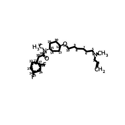 C=CCN(C)CCCCCCO[C@H]1CC[C@H](N(C)C(=O)Cc2ccc(F)cc2F)CC1